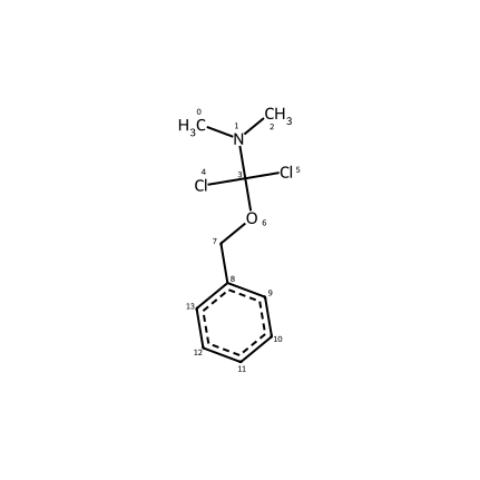 CN(C)C(Cl)(Cl)OCc1ccccc1